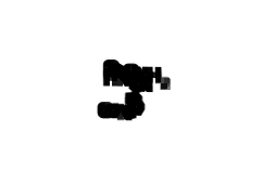 Nc1ncc(-c2ccc3c(c2)CCC32CCN(C3CCOCC3)C2)cc1C(=O)NC1CCOCC1